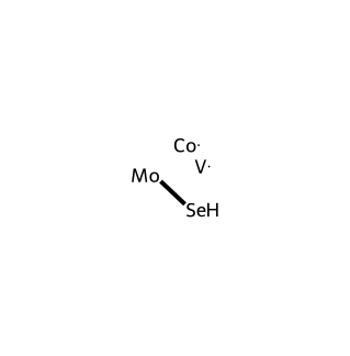 [Co].[SeH][Mo].[V]